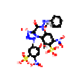 COc1cc([N+](=O)[O-])c(S(=O)(=O)O)cc1-n1nnc(C(=O)NNc2ccccc2)[n+]1-c1cc(S(=O)(=O)O)c([N+](=O)[O-])cc1OC.[OH-]